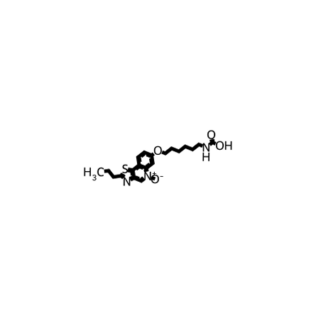 CCCc1nc2c[n+]([O-])c3cc(OCCCCCCNC(=O)O)ccc3c2s1